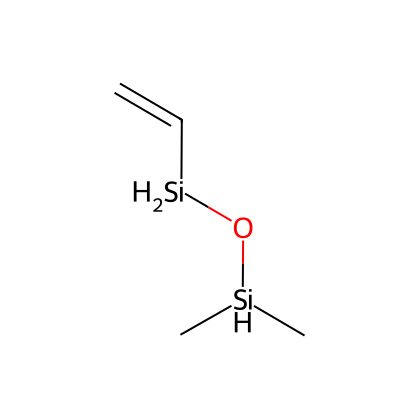 C=C[SiH2]O[SiH](C)C